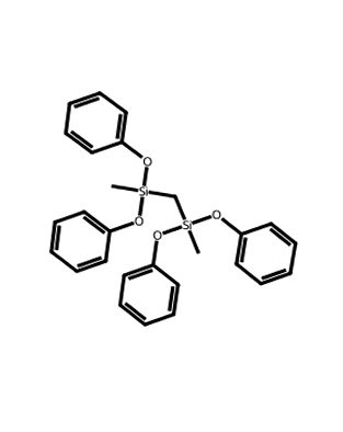 C[Si](C[Si](C)(Oc1ccccc1)Oc1ccccc1)(Oc1ccccc1)Oc1ccccc1